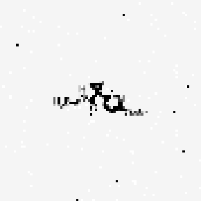 BCNC(=O)C1(c2ccc(OC)nn2)CC1